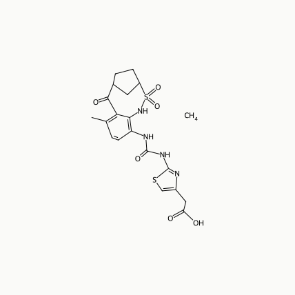 C.Cc1ccc(NC(=O)Nc2nc(CC(=O)O)cs2)c2c1C(=O)C1CCC(C1)S(=O)(=O)N2